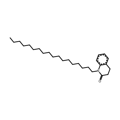 CCCCCCCCCCCCCCCCCCN1C(=O)CCc2ccccc21